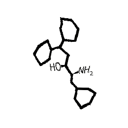 N[C@@H](CC1CCCCC1)[C@@H](O)CC(C1CCCCC1)C1CCCCC1